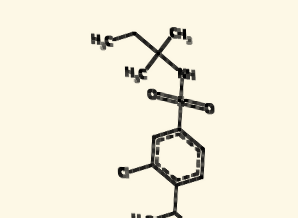 CCC(C)(C)NS(=O)(=O)c1ccc(C(C)C)c(Cl)c1